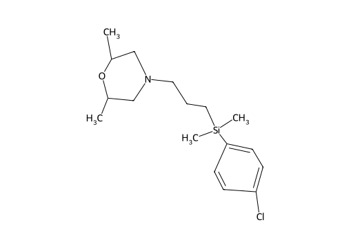 CC1CN(CCC[Si](C)(C)c2ccc(Cl)cc2)CC(C)O1